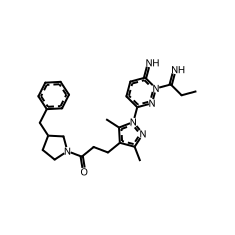 CCC(=N)n1nc(-n2nc(C)c(CCC(=O)N3CCC(Cc4ccccc4)C3)c2C)ccc1=N